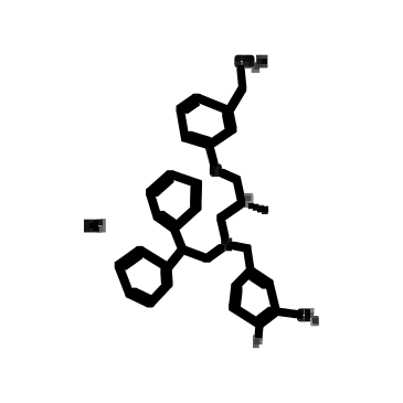 C[C@@H](COc1cccc(CC(=O)O)c1)CN(Cc1ccc(F)c(C(F)(F)F)c1)CC(c1ccccc1)c1ccccc1.Cl